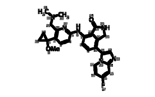 COC1(c2ccc(Nc3ccc(-c4cnc5cc(F)ccn45)c4c3C(=O)NC4)nc2CN(C)C)CC1